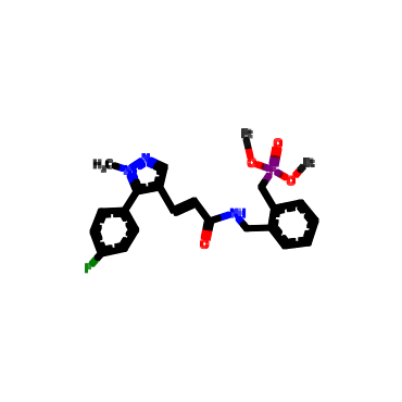 CCOP(=O)(Cc1ccccc1CNC(=O)/C=C/c1cnn(C)c1-c1ccc(F)cc1)OCC